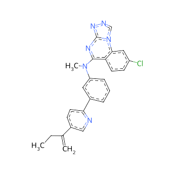 C=C(CC)c1ccc(-c2cccc(N(C)c3nc4nncn4c4cc(Cl)ccc34)c2)nc1